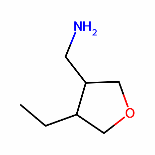 CCC1COCC1CN